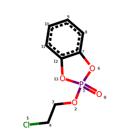 O=P1(OCCCl)Oc2ccccc2O1